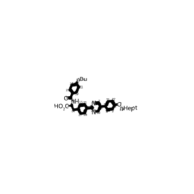 CCCCCCCOc1ccc(-c2cnc(-c3ccc(C[C@H](NC(=O)c4ccc(CCCC)cc4)C(=O)O)cc3)nc2)cc1